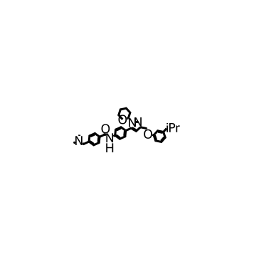 CC(C)c1cccc(OCc2cc(-c3ccc(NC(=O)c4ccc(CN(C)C)cc4)cc3)n(C3CCCCO3)n2)c1